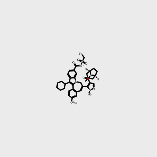 COc1ccc2c(c1)C=C(c1c(C(=O)N3[C@@H]4CC[C@H]3CN(C)C4)cnn1C(C)C)Cn1c-2c(C2CCCCC2)c2ccc(C(=O)NS(=O)(=O)CC(C)C)cc21